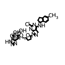 Cc1ccc2c(c1)CC[C@H]2Nc1nc(Cl)nc2c1cnn2[C@H]1CC[C@@H](CO[C@@](CO)(Cc2nn[nH]n2)P(=O)(O)O)O1